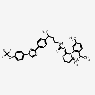 Cc1ccc(C(C)C)c(N2/C(=N/C(=O)NCCC(C)c3ccc(-c4ncn(-c5ccc(OC(F)(F)F)cc5)n4)cc3)SCCC2C)c1